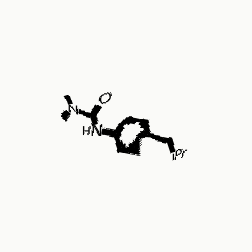 CC(C)Cc1ccc(NC(=O)N(C)C)cc1